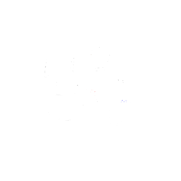 CCc1ccsc1C1(OC(C)[C@H](N)C(=O)O)c2ccccc2-c2ccccc21